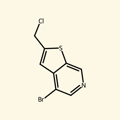 ClCc1cc2c(Br)cncc2s1